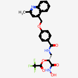 Cc1cc(COc2ccc(C(=O)NC[C@@H](OC(=O)C(F)(F)F)C(=O)NO)cc2)c2ccccc2n1